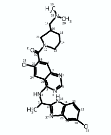 CC(Nc1ncnc2cc(C(=O)N3CCCC(CN(C)C)C3)c(Cl)cc12)c1nc2cc(Cl)ccc2[nH]1